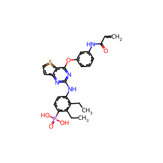 C=CC(=O)Nc1cccc(Oc2nc(Nc3ccc(P(=O)(O)O)c(CC)c3CC)nc3ccsc23)c1